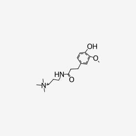 COc1cc(CCC(=O)NCCC[N+](C)(C)C)ccc1O